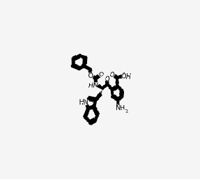 Nc1ccc(C(=O)O)c(C(=O)[C@H](Cc2c[nH]c3ccccc23)NC(=O)OCc2ccccc2)c1